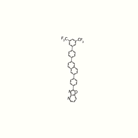 FC(F)(F)c1cc(-c2ccc(-c3ccc4cc(-c5ccc(-c6nc7ncccc7o6)cc5)ccc4c3)cc2)cc(C(F)(F)F)c1